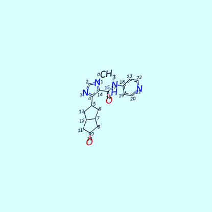 Cn1cnc(C2CC3CC(=O)CC3C2)c1C(=O)Nc1ccncc1